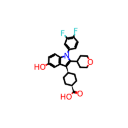 O=C(O)[C@H]1CC[C@@H](c2c(C3CCOCC3)n(-c3ccc(F)c(F)c3)c3ccc(O)cc32)CC1